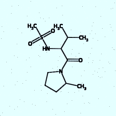 CC(C)C(NS(C)(=O)=O)C(=O)N1CCCC1C